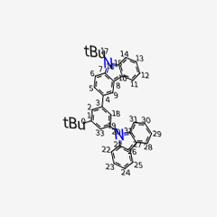 CC(C)(C)c1cc(-c2ccc3c(c2)c2ccccc2n3C(C)(C)C)cc(-n2c3ccccc3c3ccccc32)c1